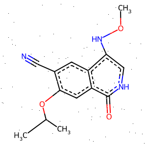 CONc1c[nH]c(=O)c2cc(OC(C)C)c(C#N)cc12